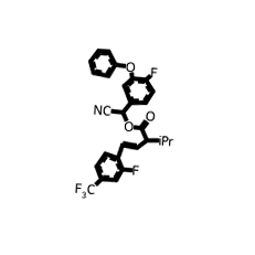 CC(C)C(C=Cc1ccc(C(F)(F)F)cc1F)C(=O)OC(C#N)c1ccc(F)c(Oc2ccccc2)c1